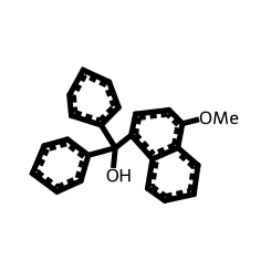 COc1ccc(C(O)(c2ccccc2)c2ccccc2)c2ccccc12